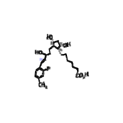 Cc1ccc(/C=C/C(O)CCC2[C@H](O)C[C@H](O)[C@@H]2CCCCCCC(=O)O)c(F)c1